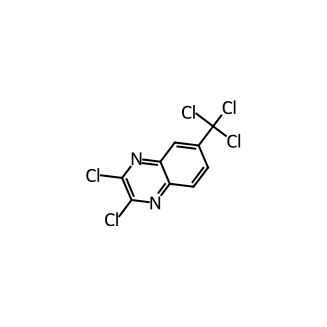 Clc1nc2ccc(C(Cl)(Cl)Cl)cc2nc1Cl